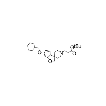 CC(C)(C)OC(=O)CCN1CCC2(CC1)COc1cc(OCC3CCCCC3)ccc12